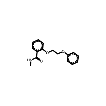 CNC(=O)c1ccccc1OCCOc1ccccc1